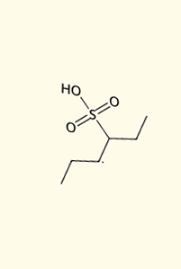 CC[CH]C(CC)S(=O)(=O)O